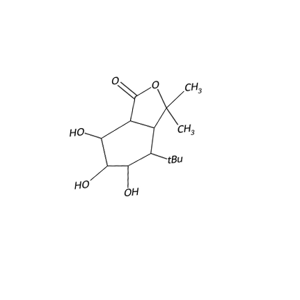 CC(C)(C)C1C(O)C(O)C(O)C2C(=O)OC(C)(C)C21